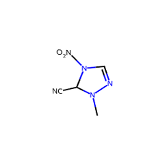 CN1N=CN([N+](=O)[O-])C1C#N